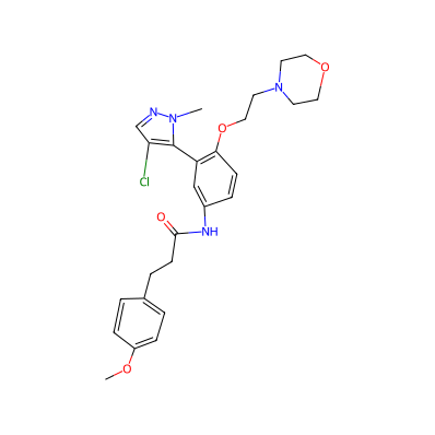 COc1ccc(CCC(=O)Nc2ccc(OCCN3CCOCC3)c(-c3c(Cl)cnn3C)c2)cc1